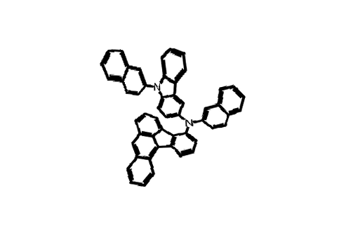 c1cc2c(c(N(c3ccc4ccccc4c3)c3ccc4c(c3)c3ccccc3n4-c3ccc4ccccc4c3)c1)-c1cccc3cc4ccccc4c-2c13